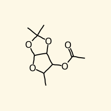 CC(=O)OC1C(C)OC2OC(C)(C)OC21